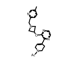 CC(=O)N1CC=C(c2nccnc2OC2CN(Cc3ccc(C)cn3)C2)CC1